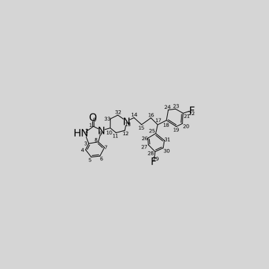 O=c1[nH]c2ccccc2n1C1CCN(CCCC(C2=CC=C(F)CC2)c2ccc(F)cc2)CC1